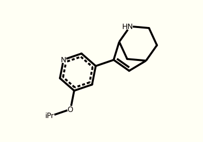 CC(C)Oc1cncc(C2=CC3CCNC2C3)c1